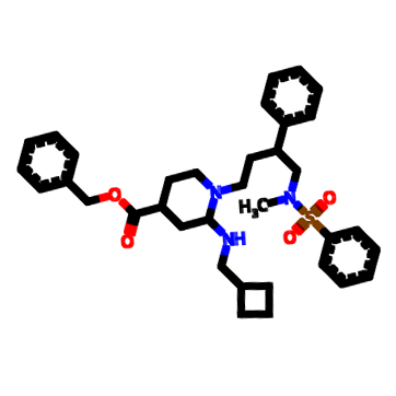 CN(CC(CCN1CCC(C(=O)OCc2ccccc2)CC1NCC1CCC1)c1ccccc1)S(=O)(=O)c1ccccc1